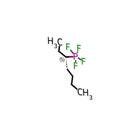 CCCC[C@H](CC)P(F)(F)(F)F